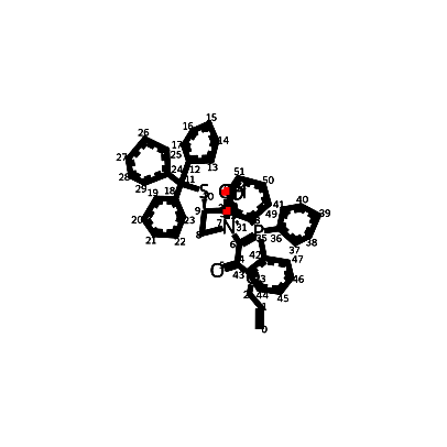 C=CCOC(=O)C(N1C[C@](SC(c2ccccc2)(c2ccccc2)c2ccccc2)([C@@H](C)O)C1=O)=P(c1ccccc1)(c1ccccc1)c1ccccc1